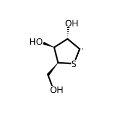 OC[C@@H]1S[CH][C@@H](O)[C@@H]1O